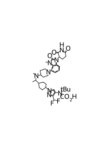 CC(C1CCC(n2cc(N(C(=O)O)C(C)(C)C)c(C(F)F)n2)CC1)N(C)C1CCN(c2cccc3c2n(C)c(=O)n3C2CCC(=O)NC2=O)CC1